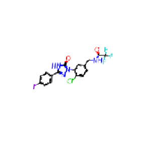 O=C(NCc1ccc(Cl)c(-n2nc(-c3ccc(I)cc3)[nH]c2=O)c1)C(F)(F)F